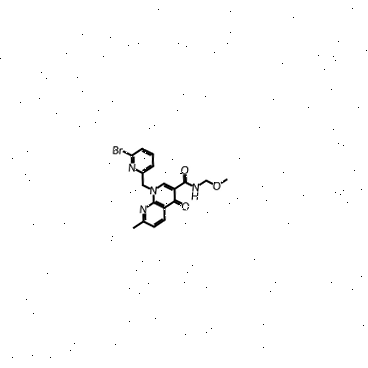 COCNC(=O)c1cn(Cc2cccc(Br)n2)c2nc(C)ccc2c1=O